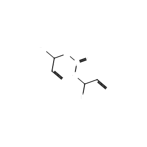 C=CC(CC)OS(=O)OC(C=C)CC